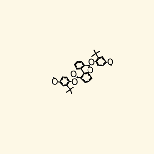 COc1ccc(OC(=O)c2ccccc2-c2ccccc2C(=O)Oc2ccc(OC)cc2C(C)(C)C)c(C(C)(C)C)c1